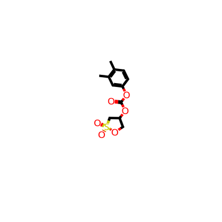 Cc1ccc(OC(=O)OC2COS(=O)(=O)C2)cc1C